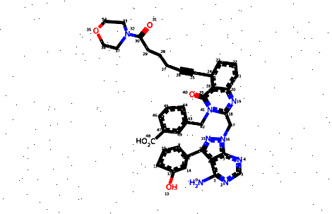 Nc1ncnc2c1c(-c1cccc(O)c1)nn2Cc1nc2cccc(C#CCCCC(=O)N3CCOCC3)c2c(=O)n1Cc1cccc(C(=O)O)c1